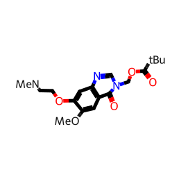 CNCCOc1cc2ncn(COC(=O)C(C)(C)C)c(=O)c2cc1OC